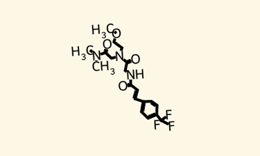 COCCN(CC(=O)N(C)C)C(=O)CNC(=O)/C=C/c1ccc(C(F)(F)F)cc1